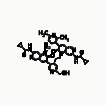 Cc1ccc(-c2cc3cnc(NC(=O)C4CC4)cc3n(CCc3cc(CO)ncc3-c3cc4cnc(NC(=O)C5CC5)cc4n(C)c3=O)c2=O)c(C)n1